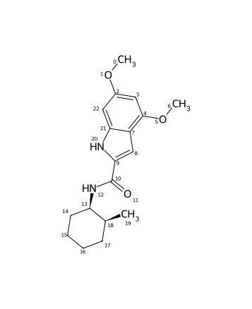 COc1cc(OC)c2cc(C(=O)N[C@@H]3CCCC[C@@H]3C)[nH]c2c1